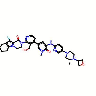 C[C@@H]1CN(c2ccc(Nc3cc(-c4ccnc(N5CCn6c7c(c(F)c6C5=O)CCCC7)c4CO)cn(C)c3=O)nc2)CCN1C1COC1